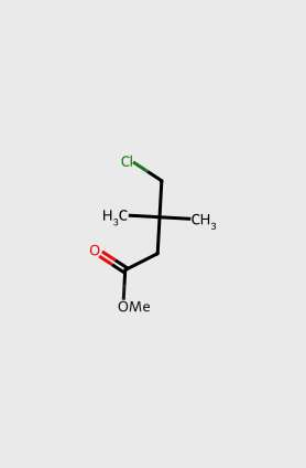 COC(=O)CC(C)(C)CCl